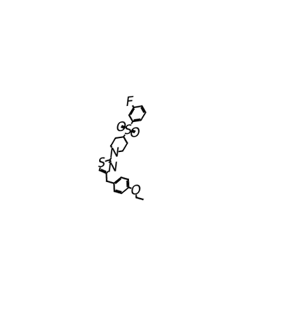 CCOc1ccc(Cc2csc(N3CCC(S(=O)(=O)c4cccc(F)c4)CC3)n2)cc1